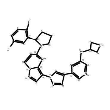 Fc1ccc(F)c([C@H]2CCCN2c2ccn3ncc(-n4cc(-c5cncc(OC6COC6)c5)cn4)c3n2)c1